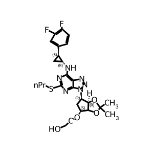 CCCSc1nc(N[C@@H]2C[C@H]2c2ccc(F)c(F)c2)c2nnn([C@@H]3C[C@H](OCCO)C4OC(C)(C)O[C@@H]43)c2n1